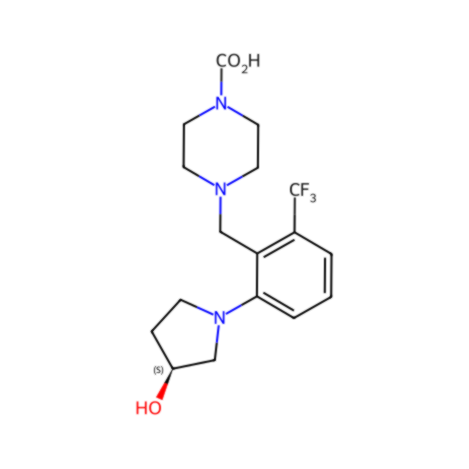 O=C(O)N1CCN(Cc2c(N3CC[C@H](O)C3)cccc2C(F)(F)F)CC1